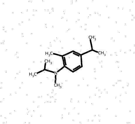 Cc1cc(C(C)C)ccc1N(C)C(C)C